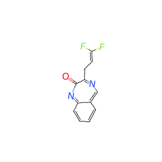 O=c1nc2ccccc2cnc1CC=C(F)F